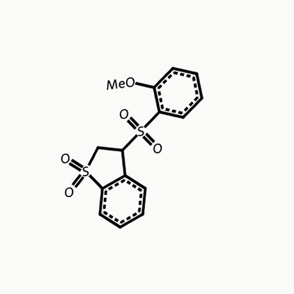 COc1ccccc1S(=O)(=O)C1CS(=O)(=O)c2ccccc21